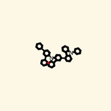 c1ccc(-c2ccc(-n3c4ccccc4c4cc(-c5cccc6c5c5ccccc5n6-c5ccccc5)ccc43)c(-c3ccccc3)c2)cc1